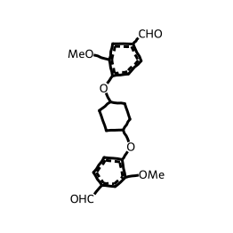 COc1cc(C=O)ccc1OC1CCC(Oc2ccc(C=O)cc2OC)CC1